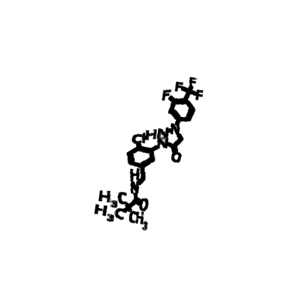 CC(C)(C)C(=O)NCc1ccc(Cl)c(N2NN(c3ccc(C(F)(F)F)c(F)c3)CC2=O)c1